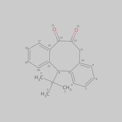 CC(C)(C)C1c2ccccc2CC(=O)C(=O)c2ccccc21